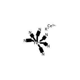 N#[C][Fe-4]([C]#N)([C]#N)([C]#N)([C]#N)[C]#N.[Ce+3].[K+]